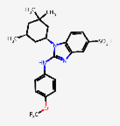 C[C@@H]1C[C@H](n2c(Nc3ccc(OC(F)(F)F)cc3)nc3cc(S(=O)(=O)O)ccc32)CC(C)(C)C1